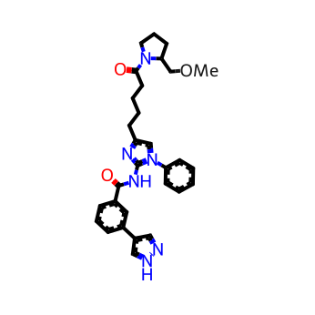 COCC1CCCN1C(=O)CCCCc1cn(-c2ccccc2)c(NC(=O)c2cccc(-c3cn[nH]c3)c2)n1